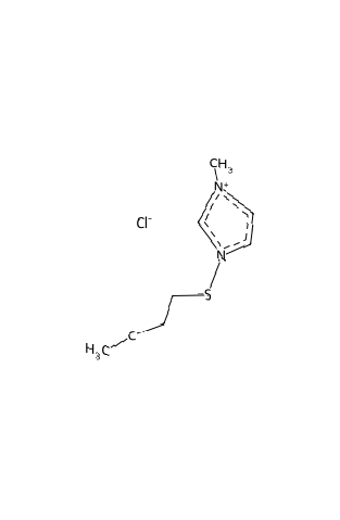 CCCCSn1cc[n+](C)c1.[Cl-]